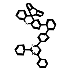 c1ccc(-c2cc(-c3ccc(-c4ccccc4-c4ccc5c(c4)C4(c6ccccc6S5)c5ccccc5-c5ccccc54)cc3)nc(-c3ccccc3)n2)cc1